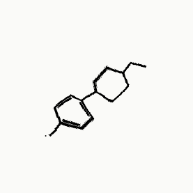 [CH2]c1ccc(C2CCC(CC)CC2)cc1